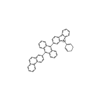 C1=CC(n2c3ccccc3c3ccc(-c4c5ccccc5c(-c5ccc6c(ccc7ccccc76)c5)c5ccccc45)cc32)=CCC1